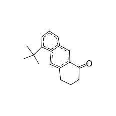 CC(C)(C)c1cccc2cc3c(cc12)CCCC3=O